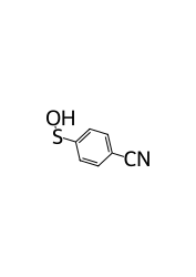 N#Cc1ccc(SO)cc1